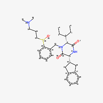 CCC(CC)[C@@H]1C(=O)N[C@H](C2Cc3ccccc3C2)C(=O)N1Cc1ccccc1[S+]([O-])CCCN(C)C